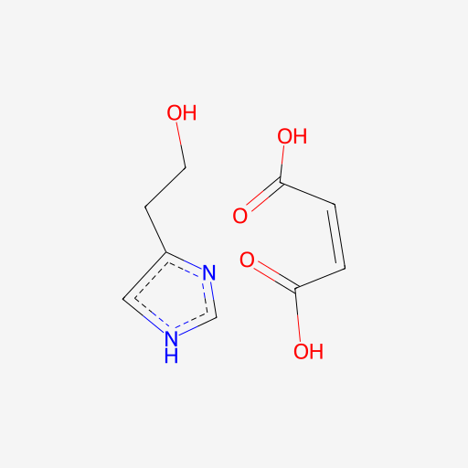 O=C(O)/C=C\C(=O)O.OCCc1c[nH]cn1